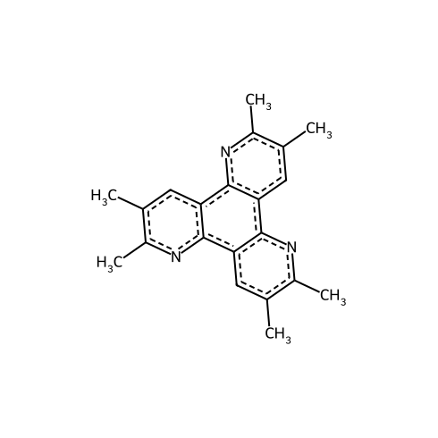 Cc1cc2c(nc1C)c1cc(C)c(C)nc1c1cc(C)c(C)nc21